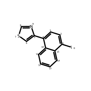 Ic1ccc(-c2cs[c]n2)c2ccccc12